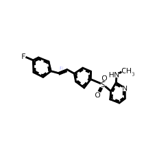 CNc1ncccc1S(=O)(=O)c1ccc(/C=C/c2ccc(F)cc2)cc1